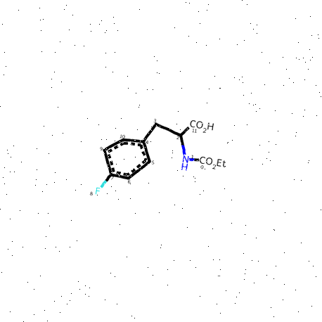 CCOC(=O)NC(Cc1ccc(F)cc1)C(=O)O